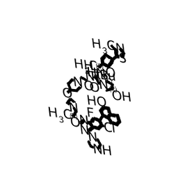 Cc1ncsc1-c1ccc([C@H](C)NC(=O)[C@@H]2C[C@@H](O)CN2C(=O)[C@@H](NC(=O)CN2CCC(OC3CN(C[C@@H](C)Oc4nc(N5CCNCC5)c5cc(Cl)c(-c6cc(O)cc7ccccc67)c(F)c5n4)C3)CC2)C(C)(C)C)cc1